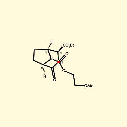 CCOC(=O)[C@H]1NC(=O)[C@H]2CC[C@@H]1N2C(=O)OCCOC